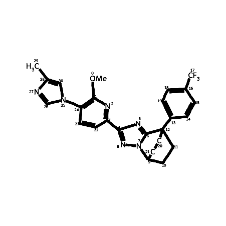 COc1nc(-c2nc3n(n2)C2CCC3(c3ccc(C(F)(F)F)cc3)CC2)ccc1-n1cnc(C)c1